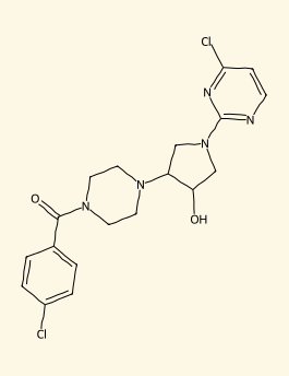 O=C(c1ccc(Cl)cc1)N1CCN(C2CN(c3nccc(Cl)n3)CC2O)CC1